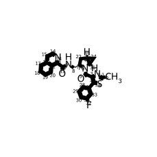 Cc1nc(C(=O)N2[C@H](CNC(=O)c3nccc4ccccc34)C[C@@H]3C[C@@H]32)c(-c2cccc(F)c2)s1